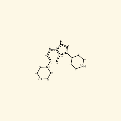 c1nc2[nH]cc(C3CCNCC3)c2nc1N1CCOCC1